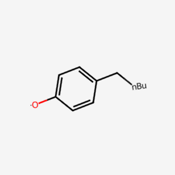 CCCCCc1ccc([O])cc1